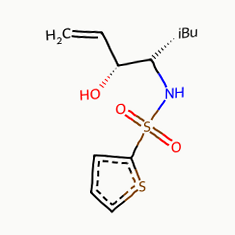 C=C[C@@H](O)C(NS(=O)(=O)c1cccs1)[C@@H](C)CC